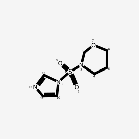 O=S(=O)(N1CCCOC1)n1ccnc1